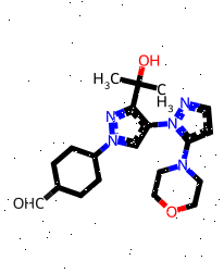 CC(C)(O)c1nn(C2CCC(C=O)CC2)cc1-n1nccc1N1CCOCC1